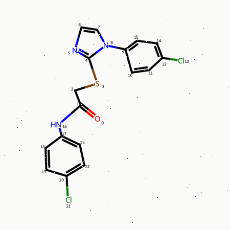 O=C(CSc1nccn1-c1ccc(Cl)cc1)Nc1ccc(Cl)cc1